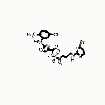 Cc1ccc(C(F)(F)F)cc1Nc1nc(C(=O)NS(=O)(=O)NCCCNc2nccc(C(C)C)n2)co1